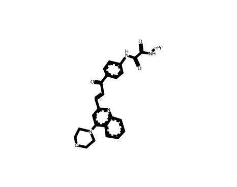 CCCNC(=O)C(=O)Nc1ccc(C(=O)/C=C/c2cc(N3CCOCC3)c3ccccc3n2)cc1